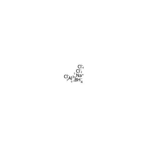 [Al+3].[BH4-].[Cl-].[Cl-].[Cl-].[Na+]